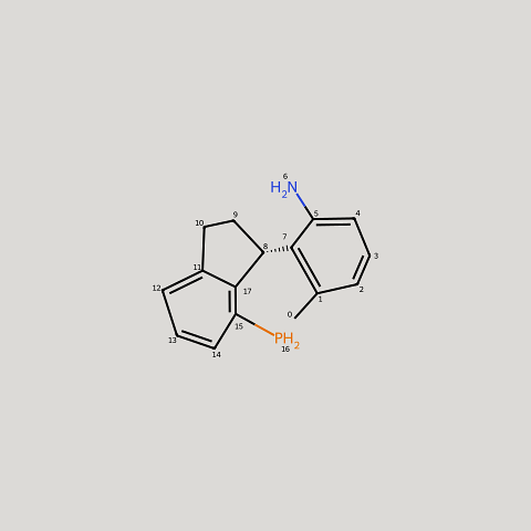 Cc1cccc(N)c1[C@H]1CCc2cccc(P)c21